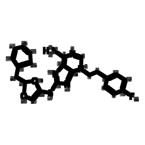 Nc1ncn(CCc2ccc(F)cc2)c2nc(SC3=COC(Cc4ccccc4)O3)nc1-2